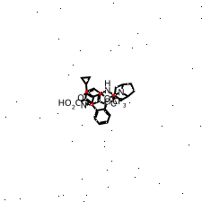 O=C(O)c1ccc(NC(=O)N2C3CCC2CC(OCc2c(-c4ccccc4OC(F)(F)F)noc2C2CC2)C3)c(F)c1